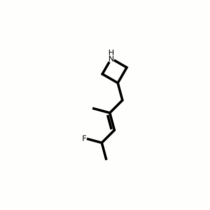 C/C(=C\C(C)F)CC1CNC1